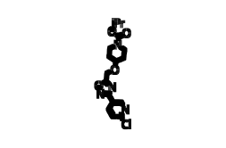 CC(C)OC(=O)N1CCC(OCc2nc(-c3ccc(Cl)nc3)no2)CC1